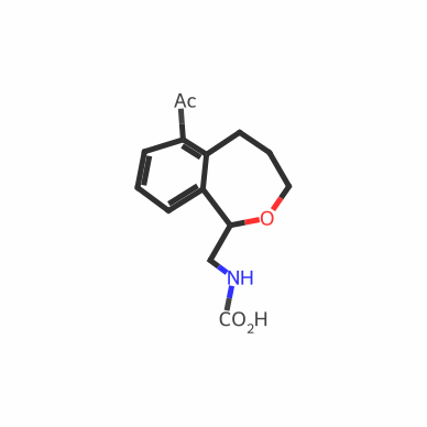 CC(=O)c1cccc2c1CCCOC2CNC(=O)O